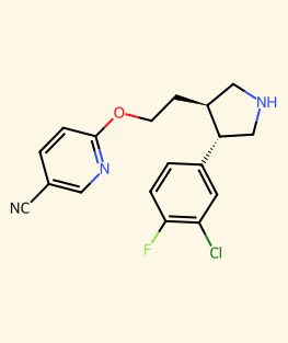 N#Cc1ccc(OCC[C@H]2CNC[C@@H]2c2ccc(F)c(Cl)c2)nc1